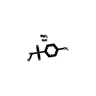 Cc1ccc(S(=O)(=O)NCl)cc1.[MgH2].[NaH]